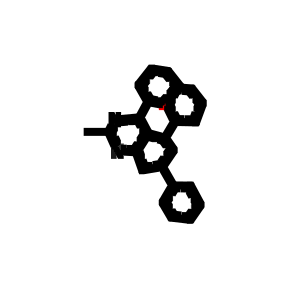 Cc1nc(-c2ccccc2)c2c(-c3ccccc3)cc(-c3ccccc3)cc2n1